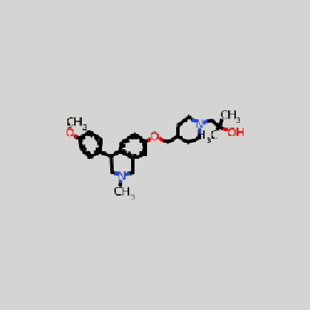 COc1ccc(C2CN(C)Cc3cc(OCC4CCN(CC(C)(C)O)CC4)ccc32)cc1